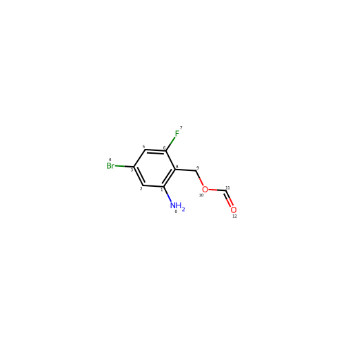 Nc1cc(Br)cc(F)c1COC=O